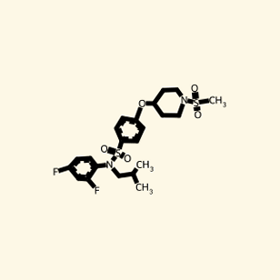 CC(C)CN(c1ccc(F)cc1F)S(=O)(=O)c1ccc(OC2CCN(S(C)(=O)=O)CC2)cc1